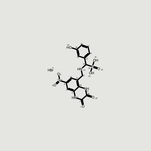 Br.O=c1[nH]c2cc([N+](=O)[O-])cc(CNC(c3cccc(O)c3)P(=O)(O)O)c2[nH]c1=O